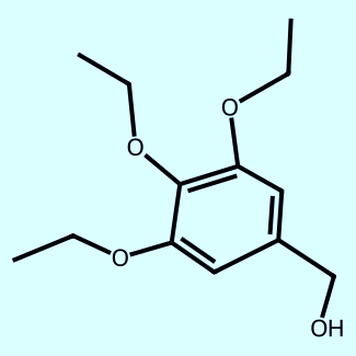 CCOc1cc(CO)cc(OCC)c1OCC